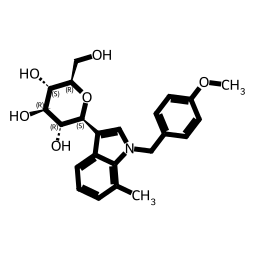 COc1ccc(Cn2cc([C@@H]3O[C@H](CO)[C@@H](O)[C@H](O)[C@H]3O)c3cccc(C)c32)cc1